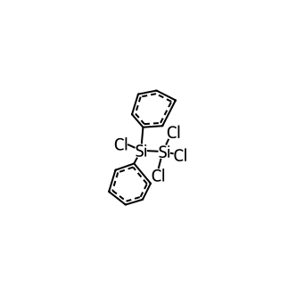 Cl[Si](Cl)(Cl)[Si](Cl)(c1ccccc1)c1ccccc1